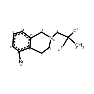 CC(F)(F)CN1CCc2c(Br)cccc2C1